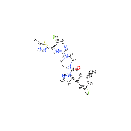 Cc1nnc(-c2nc(N3CCN(C(=O)N4N=CCC4c4cc(F)cc(C#N)c4)CC3)ncc2F)s1